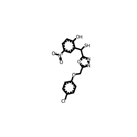 O=[N+]([O-])c1ccc(O)c(C(S)c2nnc(COc3ccc(Cl)cc3)o2)c1